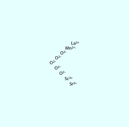 [La+3].[Mn+2].[O-2].[O-2].[O-2].[O-2].[O-2].[Sc+3].[Sr+2]